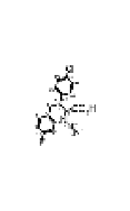 [N-]=[N+]=NC(C(=O)O)[C@@H](Cc1ccc(F)cc1)c1ccc(Cl)cc1